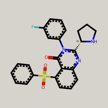 O=c1c2c(S(=O)(=O)c3ccccc3)cccc2nc([C@@H]2CCCN2)n1-c1cccc(F)c1